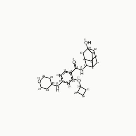 O=C(NC1C2CC3CC1CC(O)(C3)C2)c1cnc(NC2CCOCC2)nc1OC1CCC1